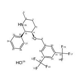 CC1CC[C@@H](OCc2cc(C(F)(F)F)cc(C(F)(F)F)c2)[C@@H](c2ccccc2)N1.Cl